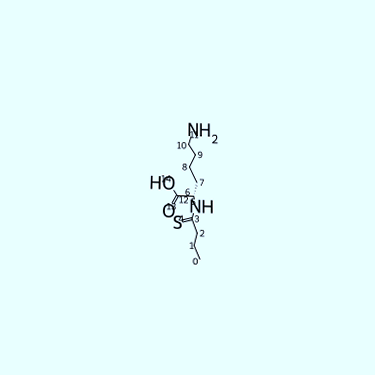 CCCC(=S)N[C@@H](CCCCN)C(=O)O